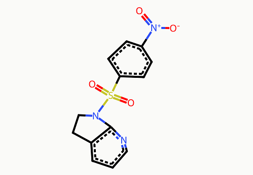 O=[N+]([O-])c1ccc(S(=O)(=O)N2CCc3cccnc32)cc1